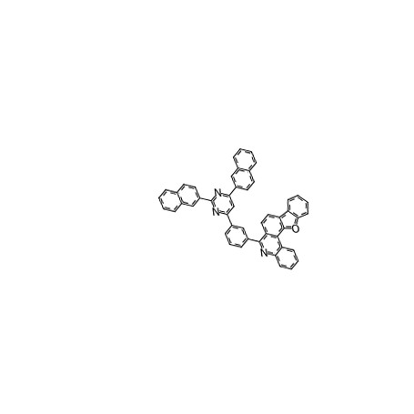 c1cc(-c2cc(-c3ccc4ccccc4c3)nc(-c3ccc4ccccc4c3)n2)cc(-c2nc3ccccc3c3c2ccc2c4ccccc4oc23)c1